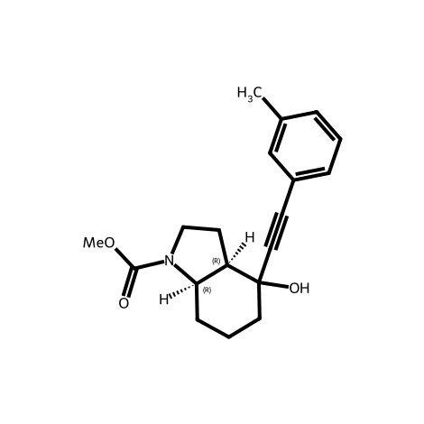 COC(=O)N1CC[C@@H]2[C@H]1CCCC2(O)C#Cc1cccc(C)c1